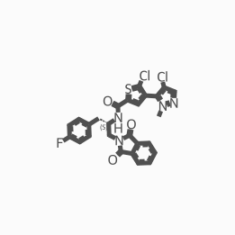 Cn1ncc(Cl)c1-c1cc(C(=O)N[C@@H](Cc2ccc(F)cc2)CN2C(=O)c3ccccc3C2=O)sc1Cl